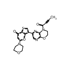 CC#CC(=O)N1CCOc2ncc(-c3csc4c(=O)cc(N5CCOCC5)oc34)nc21